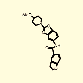 COC1CCN(c2nc3cc(NC(=O)c4ccc5c(c4)CCO5)ccc3o2)CC1